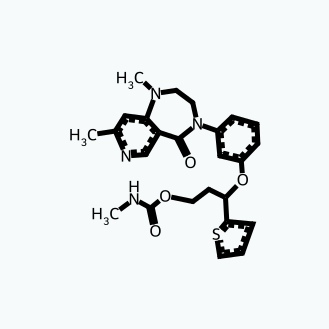 CNC(=O)OCCC(Oc1cccc(N2CCN(C)c3cc(C)ncc3C2=O)c1)c1cccs1